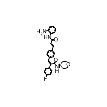 Nc1ccccc1NC(=O)/C=C/c1ccc(/C=C(\C(=O)NN2CCOCC2)c2ccc(F)cc2)cc1